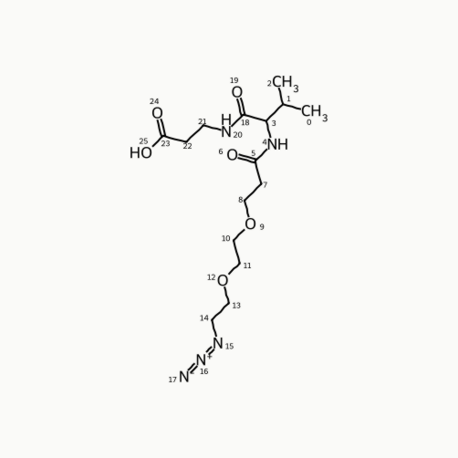 CC(C)C(NC(=O)CCOCCOCCN=[N+]=[N-])C(=O)NCCC(=O)O